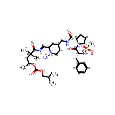 CC(C)COC(=O)OC(C)CC(C)(C)C(=O)/N=C/C1CC(CNC(=O)[C@@H]2CCCN2C(=O)[C@@H](Cc2ccccc2)NS(C)(=O)=O)CCN1N